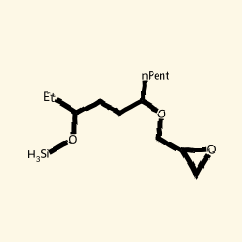 CCCCCC(CCC(CC)O[SiH3])OCC1CO1